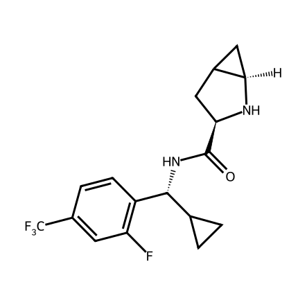 O=C(N[C@@H](c1ccc(C(F)(F)F)cc1F)C1CC1)[C@H]1CC2C[C@H]2N1